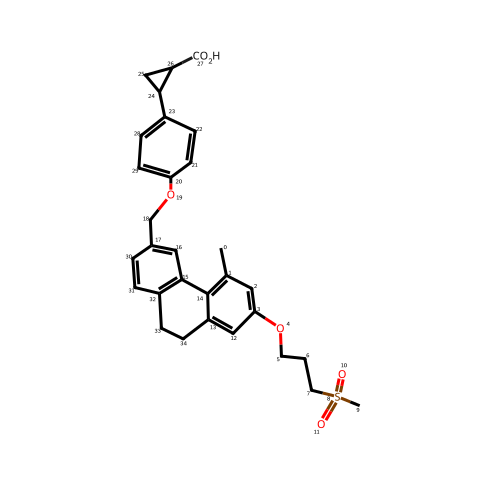 Cc1cc(OCCCS(C)(=O)=O)cc2c1-c1cc(COc3ccc(C4CC4C(=O)O)cc3)ccc1CC2